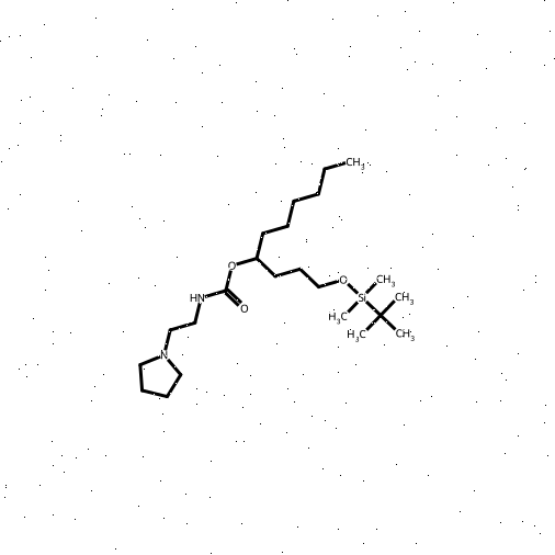 CCCCCCC(CCCO[Si](C)(C)C(C)(C)C)OC(=O)NCCN1CCCC1